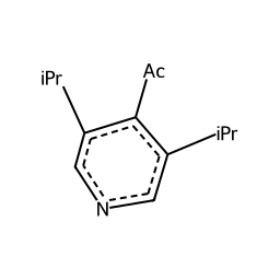 CC(=O)c1c(C(C)C)cncc1C(C)C